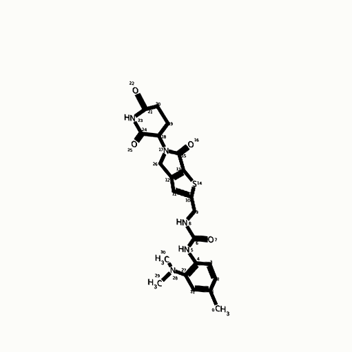 Cc1ccc(NC(=O)NCc2cc3c(s2)C(=O)N(C2CCC(=O)NC2=O)C3)c(N(C)C)c1